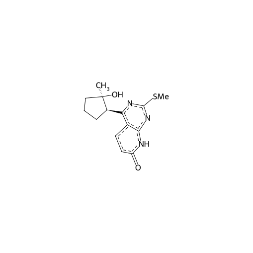 CSc1nc([C@H]2CCC[C@@]2(C)O)c2ccc(=O)[nH]c2n1